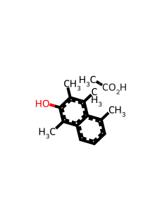 CC(=O)O.Cc1c(O)c(C)c2cccc(C)c2c1C